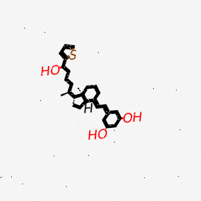 C[C@@H](CCC[C@@H](O)c1cccs1)[C@H]1CC[C@H]2/C(=C/C=C3C[C@@H](O)C[C@H](O)C3)CCC[C@]12C